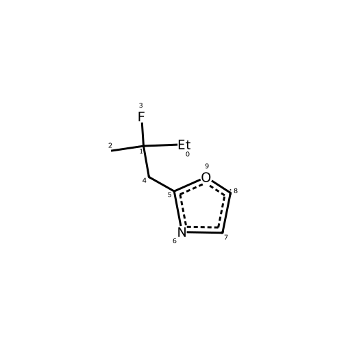 CCC(C)(F)Cc1nc[c]o1